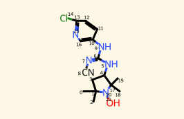 CC1(C)CC(NC(=NC#N)Nc2ccc(Cl)nc2)C(C)(C)N1O